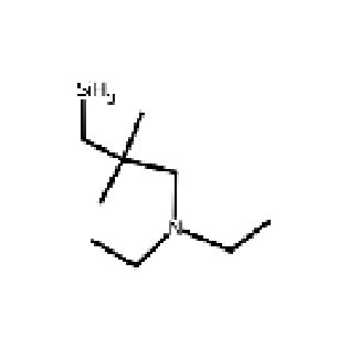 CCN(CC)CC(C)(C)C[SiH3]